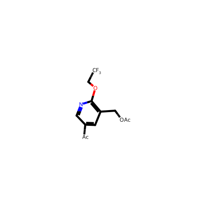 CC(=O)OCc1cc(C(C)=O)cnc1OCC(F)(F)F